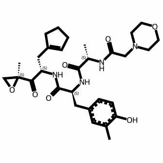 Cc1cc(C[C@H](NC(=O)[C@H](C)NC(=O)CN2CCOCC2)C(=O)N[C@@H](CC2=CCCC2)C(=O)[C@]2(C)CO2)ccc1O